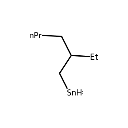 CCCCC(CC)[CH2][SnH]